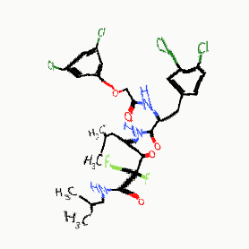 CC(C)CNC(=O)C(F)(F)C(=O)C(NC(=O)C(Cc1ccc(Cl)c(Cl)c1)NC(=O)COc1cc(Cl)cc(Cl)c1)C(C)C